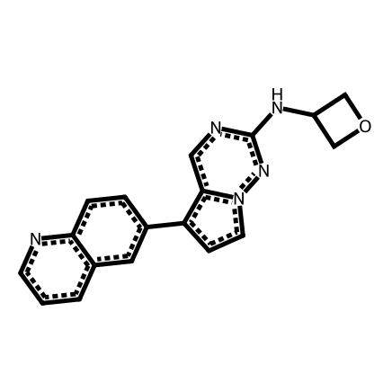 c1cnc2ccc(-c3ccn4nc(NC5COC5)ncc34)cc2c1